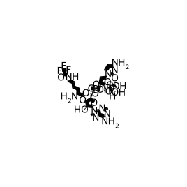 Nc1ccn([C@H]2C[C@H](OP(=O)(O)OC[C@H]3O[C@@H](n4cnc5c(N)ncnc54)[C@H](O)[C@@H]3OC(=O)[C@@H](N)CCCCNC(=O)C(F)(F)F)[C@@H](CO[PH](O)(O)O)O2)c(=O)n1